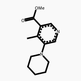 COC(=O)c1cn[c]c(N2CCCCC2)c1C